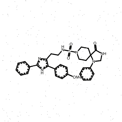 COc1ccc(-c2[nH]c(-c3ccccc3)nc2CCNS(=O)(=O)N2CCC3(CC2)C(=O)NCN3c2ccccc2)cc1